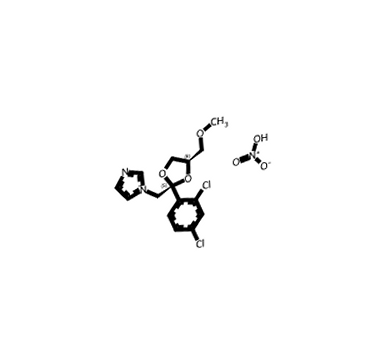 COC[C@@H]1CO[C@@](Cn2ccnc2)(c2ccc(Cl)cc2Cl)O1.O=[N+]([O-])O